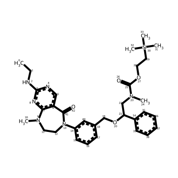 CCNc1ncc2c(n1)N(C)CCN(c1cccc(COC(CN(C)C(=O)OCC[Si](C)(C)C)c3ccccc3)c1)C2=O